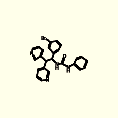 O=C(Nc1ccccc1)NC(c1cccc(Br)c1)C(c1cccnc1)c1cccnc1